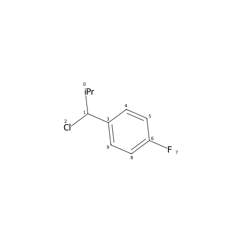 CC(C)C(Cl)c1ccc(F)cc1